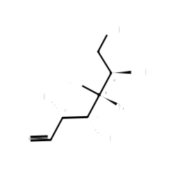 N[C@@](O)([C@H](O)CO)[C@H](O)[C@@H](O)C=O